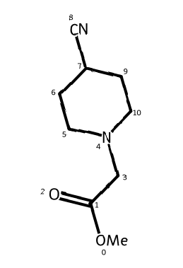 COC(=O)CN1CCC(C#N)CC1